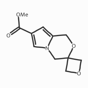 COC(=O)c1cc2n(c1)CC1(COC1)OC2